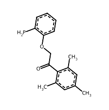 Cc1cc(C)c(C(=O)COc2ccccc2P)c(C)c1